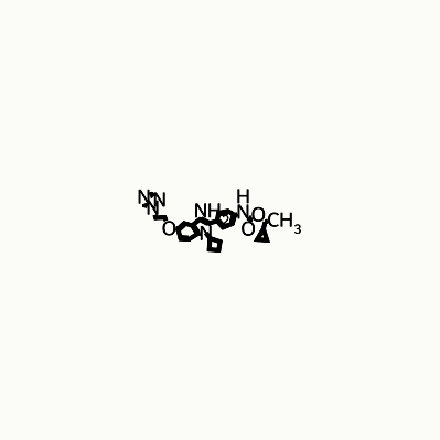 CC(OC(=O)Nc1ccc(-c2c(N)c3cc(OCCn4cncn4)ccc3n2C2CCC2)cc1)C1CC1